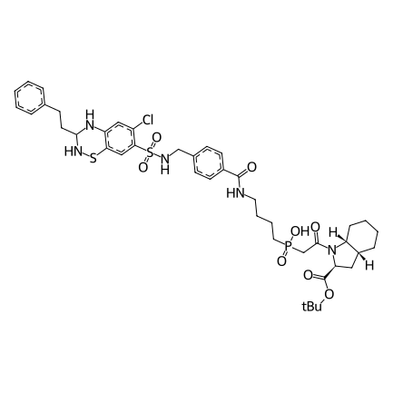 CC(C)(C)OC(=O)[C@@H]1C[C@H]2CCCC[C@H]2N1C(=O)CP(=O)(O)CCCCNC(=O)c1ccc(CNS(=O)(=O)c2cc3c(cc2Cl)NC(CCc2ccccc2)NS3)cc1